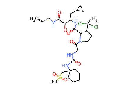 C=CCNC(=O)C(=O)C(CC1CC1)NC(=O)C1C(C(C)(Cl)Cl)CCN1C(=O)CNC(=O)NC1(CS(=O)(=O)C(C)(C)C)CCCCC1